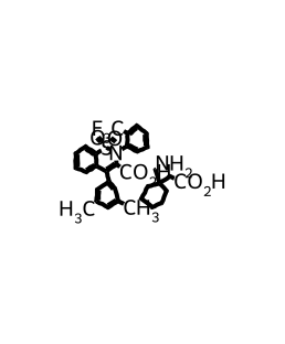 Cc1cc(C)cc(C2=C(C(=O)O)N(c3ccccc3C(F)(F)F)S(=O)(=O)c3ccccc32)c1.NCC1(CC(=O)O)CCCCC1